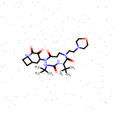 CC(C)(C)NC(=O)N[C@H](C(=O)N(CCC(=O)NC(CC1CCC1)C(=O)C(N)=O)CCN1CCOCC1)C(C)(C)C